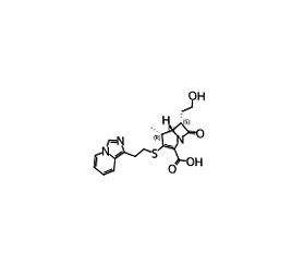 C[C@H]1C(SCCc2ncn3ccccc23)=C(C(=O)O)N2C(=O)[C@@H](CCO)[C@@H]12